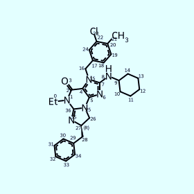 CCN1C(=O)c2c(nc(NC3CCCCC3)n2Cc2ccc(C)c(Cl)c2)N2C[C@@H](Cc3ccccc3)N=C12